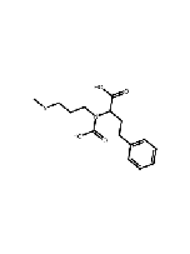 CSCCCN(C(=O)O)C(CCc1ccccc1)C(=O)O